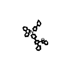 c1ccc(-c2ccc(N(c3ccc(-c4ccc(-c5ccccc5)c(-c5cc6ccccc6o5)c4)cc3)c3cc4ccccc4c4ccccc34)cc2)cc1